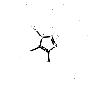 Cc1nnn(C(C)C)c1C